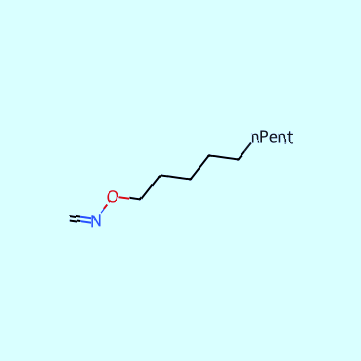 C=NOCCCCCCCCCC